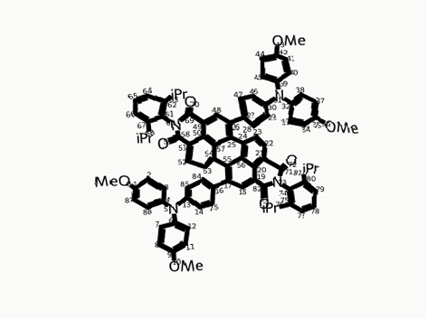 COc1ccc(N(c2ccc(OC)cc2)c2ccc(-c3cc4c5c(ccc6c7c(-c8ccc(N(c9ccc(OC)cc9)c9ccc(OC)cc9)cc8)cc8c9c(ccc(c3c56)c97)C(=O)N(c3c(C(C)C)cccc3C(C)C)C8=O)C(=O)N(c3c(C(C)C)cccc3C(C)C)C4=O)cc2)cc1